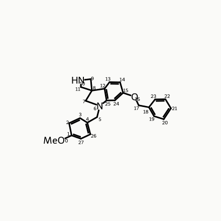 COc1ccc(CN2CC3(CNC3)c3ccc(OCc4ccccc4)cc32)cc1